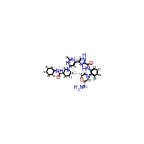 Cc1nc(-c2c[nH]c(C(=O)Nc3cccc(F)c3N3CCO[C@@H](CN)C3)n2)cc(N2C[C@@H](C(=O)NC3CCCCC3)CC[C@H]2C)n1